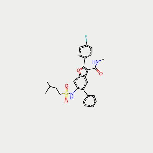 CNC(=O)c1c(-c2ccc(F)cc2)oc2cc(NS(=O)(=O)CCC(C)C)c(-c3ccccc3)cc12